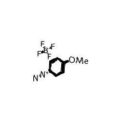 COC1=CCC(=[N+]=[N-])C=C1.F[B-](F)(F)F